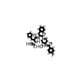 O=CN(O)CC(CC1CCCC1)C(=O)NC(Cc1ccccc1)C(=O)N1CCC(NC(=O)c2ccc(F)cc2)CC1